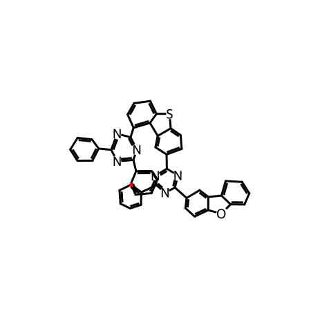 c1ccc(-c2nc(-c3ccc4oc5ccccc5c4c3)nc(-c3ccc4sc5cccc(-c6nc(-c7ccccc7)nc(-c7ccccc7)n6)c5c4c3)n2)cc1